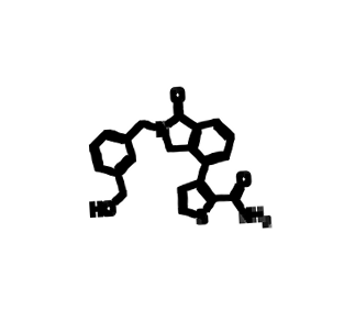 NC(=O)c1sccc1-c1cccc2c1CN(Cc1cccc(CO)c1)C2=O